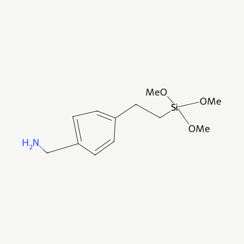 CO[Si](CCc1ccc(CN)cc1)(OC)OC